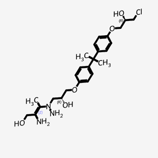 C/C(=C(/N)CO)N(N)C[C@@H](O)COc1ccc(C(C)(C)c2ccc(OC[C@@H](O)CCl)cc2)cc1